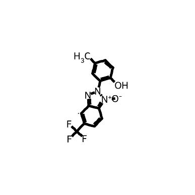 Cc1ccc(O)c(-n2nc3[c]c(C(F)(F)F)ccc3[n+]2[O-])c1